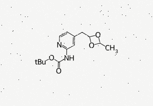 CC1OC(Cc2ccnc(NC(=O)OC(C)(C)C)c2)O1